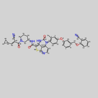 Cc1cc(Oc2cccc(COc3ccccc3C#N)c2)ccc1N1C(=O)Nc2c(C(=O)NC3CCCN(C(=O)C(C#N)=CC4CC4)C3)sc3nccc1c23